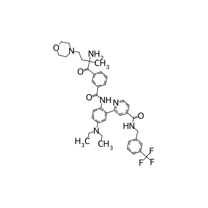 CCN(CC)c1ccc(NC(=O)c2cccc(C(=O)C(C)(N)CCN3CCOCC3)c2)c(-c2cc(C(=O)NCc3cccc(C(F)(F)F)c3)ccn2)c1